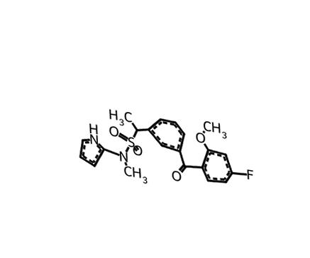 COc1cc(F)ccc1C(=O)c1cccc(C(C)S(=O)(=O)N(C)c2ccc[nH]2)c1